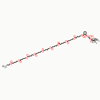 CCCCOC(=O)CCCCCOC(=O)CCCCCOC(=O)CCCCCOC(=O)CCCCCOC(=O)CCCCCOC(=O)CCCCCOC(=O)CCCCCOC(=O)CCCCCOC(=O)CCCCCOC(=O)C1CCCCC1C(=O)OCC(O)COC(=O)C(C)(C)CC